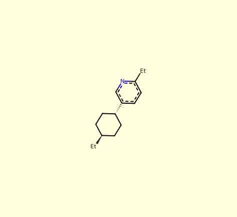 CCc1ccc([C@H]2CC[C@H](CC)CC2)cn1